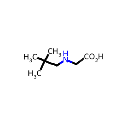 CC(C)(C)CNCC(=O)O